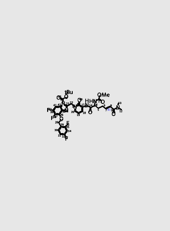 COC(=O)N[C@@H](CC/C=C/C(=O)N(C)C)C(=O)Nc1cccn(Cc2nc3c(OCc4ccc(F)cc4F)c(F)c(F)cc3n2C(=O)OC(C)(C)C)c1=O